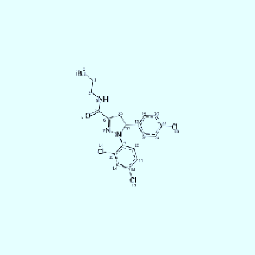 CCC(C)CCNC(=O)C1=NN(c2ccc(Cl)cc2Cl)C(c2ccc(Cl)cc2)C1